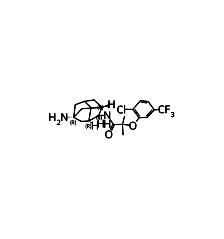 CC(C)(Oc1cc(C(F)(F)F)ccc1Cl)C(=O)N[C@H]1[C@@H]2CC3C[C@H]1C[C@](N)(C3)C2